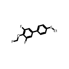 CCSc1ccc(-c2cc(F)c(OCF)c(F)c2)cc1